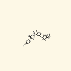 Cc1c(Cc2ccc(F)c(C(=O)N3CC(=O)N(c4ccc(F)cc4)[C@H](C)C3)c2)n[nH]c(=O)c1C